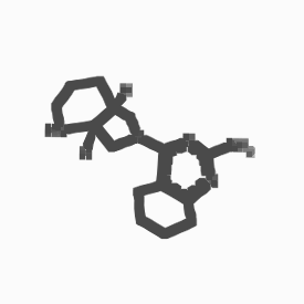 Nc1nc2c(c(N3C[C@H]4CCCN[C@H]4C3)n1)CCCC2